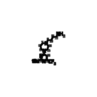 CC(C)(C)c1nc(N2CCCN(CCCCN)CC2)cc(C(F)(F)F)n1